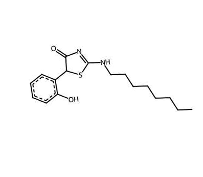 CCCCCCCCNC1=NC(=O)C(c2ccccc2O)S1